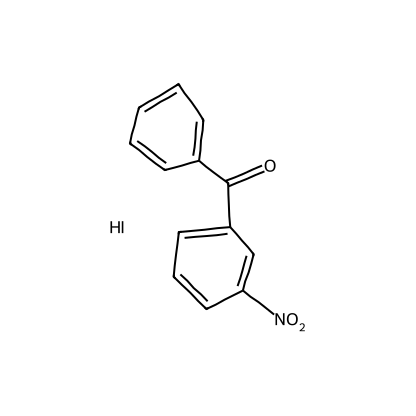 I.O=C(c1ccccc1)c1cccc([N+](=O)[O-])c1